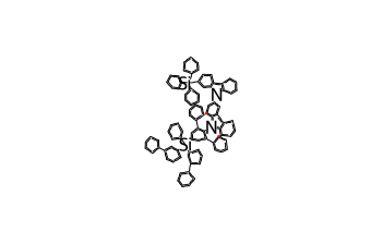 c1ccc(-c2cccc([Si](c3ccccc3)(c3cccc(-c4ccccc4)c3)c3cc(-c4ccccc4)c(-n4c5ccccc5c5cc(-n6c7ccccc7c7ccc([Si](c8ccccc8)(c8ccccc8)c8ccccc8)cc76)ccc54)c(-c4ccccc4)c3)c2)cc1